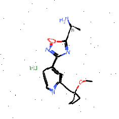 COC1(c2cc(-c3noc([C@H](C)N)n3)ccn2)CC1.Cl